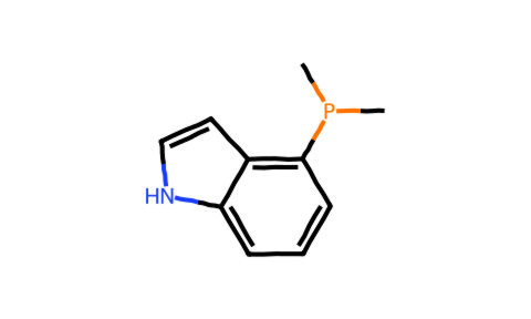 CP(C)c1cccc2[nH]ccc12